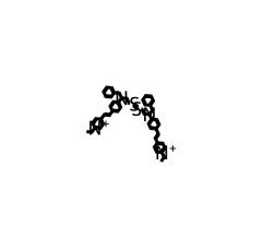 CC[n+]1ccc(/C=C/c2ccc(N(CCSSCCN(Cc3ccccc3)c3ccc(/C=C/c4cc[n+](CC)cc4)cc3)Cc3ccccc3)cc2)cc1